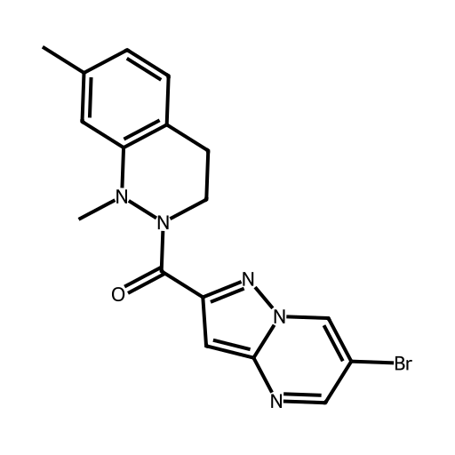 Cc1ccc2c(c1)N(C)N(C(=O)c1cc3ncc(Br)cn3n1)CC2